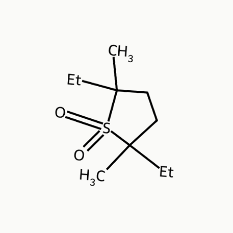 CCC1(C)CCC(C)(CC)S1(=O)=O